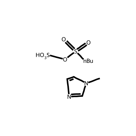 CCCCS(=O)(=O)OS(=O)(=O)O.Cn1ccnc1